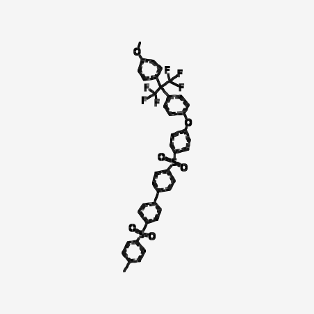 COc1ccc(C(c2ccc(Oc3ccc(S(=O)(=O)c4ccc(-c5ccc(S(=O)(=O)c6ccc(C)cc6)cc5)cc4)cc3)cc2)(C(F)(F)F)C(F)(F)F)cc1